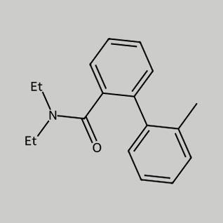 CCN(CC)C(=O)c1ccccc1-c1ccccc1C